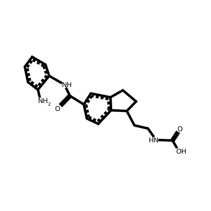 Nc1ccccc1NC(=O)c1ccc2c(c1)CCC2CCNC(=O)O